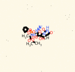 C#C[C@]1(O)[C@H](n2ccc(=O)[nH]c2=O)O[C@@](COP(=O)(N[C@@H](C)C(=O)OC(C)C)Oc2ccccc2)(N=[N+]=[N-])[C@H]1O